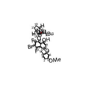 COc1ccc(Cn2c(=O)cc(O)c3c(OC[C@H]4NC[C@H]5CC[C@@H]4N5C(=O)OC(C)(C)C)c(F)c(Br)c(F)c32)cc1